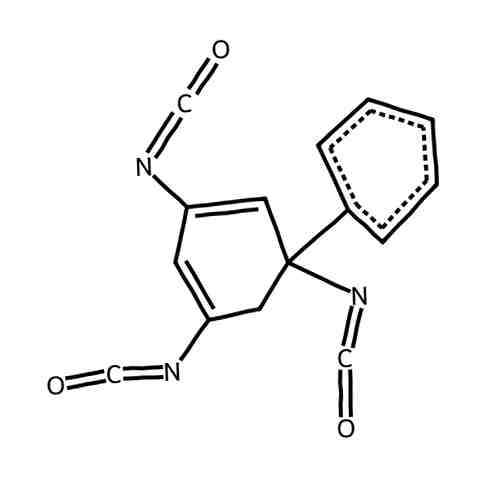 O=C=NC1=CC(N=C=O)(c2ccccc2)CC(N=C=O)=C1